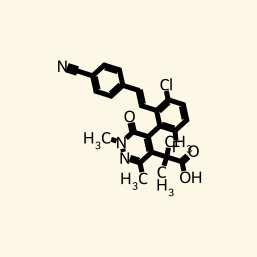 Cc1nn(C)c(=O)c(-c2c(F)ccc(Cl)c2/C=C/c2ccc(C#N)cc2)c1C(C)(C)C(=O)O